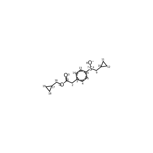 O=C(Cc1ccc([S+]([O-])CC2CC2)cc1)OCC1CC1